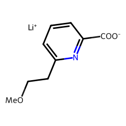 COCCc1cccc(C(=O)[O-])n1.[Li+]